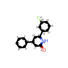 O=c1cc(-c2ccccc2)cc(-c2cccc(F)c2)[nH]1